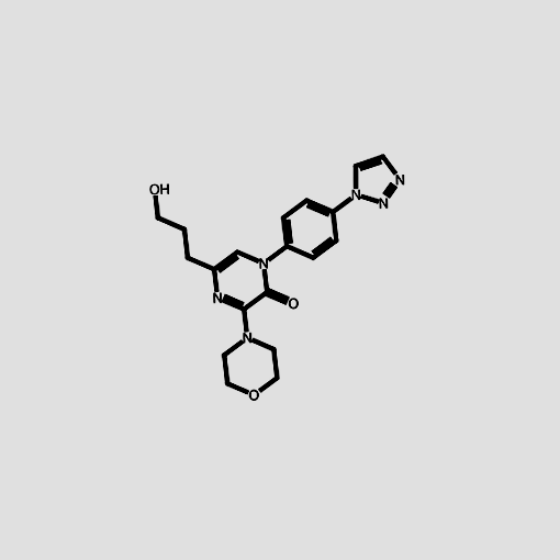 O=c1c(N2CCOCC2)nc(CCCO)cn1-c1ccc(-n2ccnn2)cc1